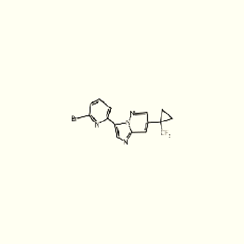 FC(F)(F)C1(c2cnn3c(-c4cccc(Br)n4)cnc3c2)CC1